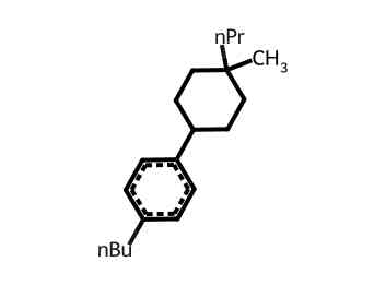 CCCCc1ccc(C2CCC(C)(CCC)CC2)cc1